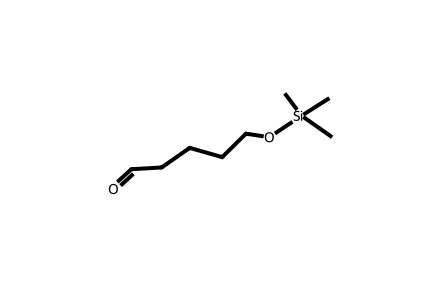 C[Si](C)(C)OCCCCC=O